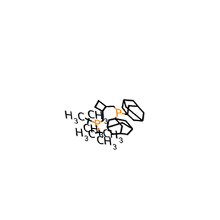 CC(C)(C)P(CC1CCC1CP(C12CC3CC(CC(C3)C1)C2)C12CC3CC(CC(C3)C1)C2)C(C)(C)C